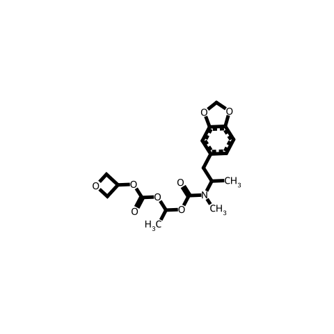 CC(OC(=O)OC1COC1)OC(=O)N(C)C(C)Cc1ccc2c(c1)OCO2